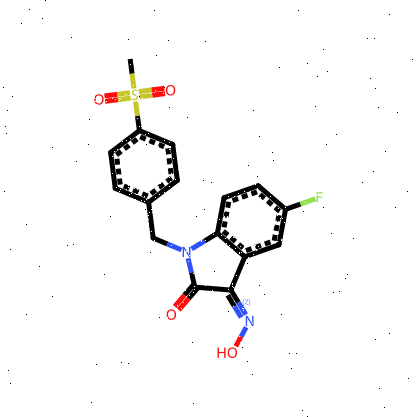 CS(=O)(=O)c1ccc(CN2C(=O)/C(=N\O)c3cc(F)ccc32)cc1